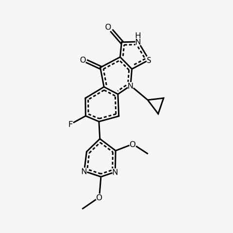 COc1ncc(-c2cc3c(cc2F)c(=O)c2c(=O)[nH]sc2n3C2CC2)c(OC)n1